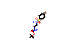 CC(C)(C)OC(=O)NCCNS(=O)(=O)c1ccc(Br)cc1